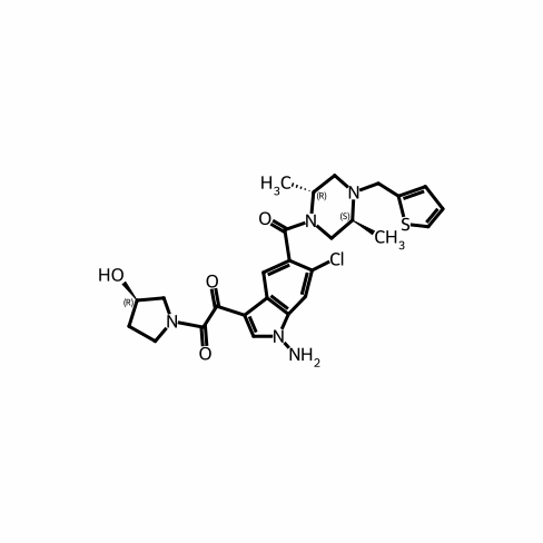 C[C@@H]1CN(Cc2cccs2)[C@@H](C)CN1C(=O)c1cc2c(C(=O)C(=O)N3CC[C@@H](O)C3)cn(N)c2cc1Cl